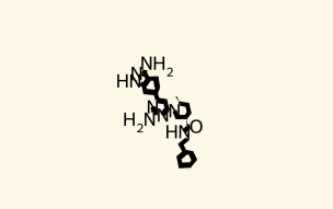 C[C@@H]1CC[C@H](C(=O)NCCc2ccccc2)CN1c1cc(-c2ccc3c(N)n[nH]c3c2)nc(N)n1